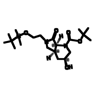 CC(C)(C)OC(=O)N1C[C@@H](O)C[C@H]2CN(CCO[Si](C)(C)C(C)(C)C)C(=O)[C@H]21